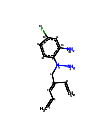 C=C/C=C(\C=C)CN(N)c1ccc(F)cc1N